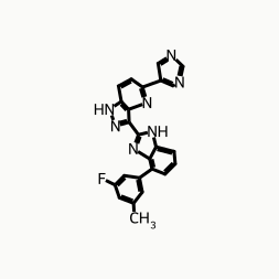 Cc1cc(F)cc(-c2cccc3[nH]c(-c4n[nH]c5ccc(-c6cncnc6)nc45)nc23)c1